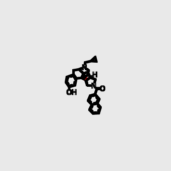 O=C(c1ccc2ccccc2c1)N1C[C@H]2CC34CCC1C2C31CCN(CC2CC2)C4Cc2ccc(O)cc21